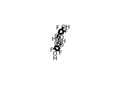 O=S(=O)(NNS(=O)(=O)c1cc(F)c(O)c(F)c1)c1cc(F)c(O)c(F)c1